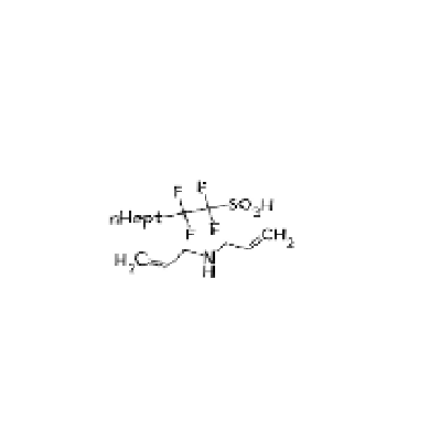 C=CCNCC=C.CCCCCCCC(F)(F)C(F)(F)S(=O)(=O)O